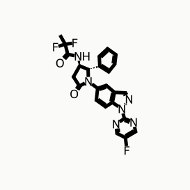 CC(F)(F)C(=O)N[C@@H]1CC(=O)N(c2ccc3c(cnn3-c3ncc(F)cn3)c2)[C@H]1c1ccccc1